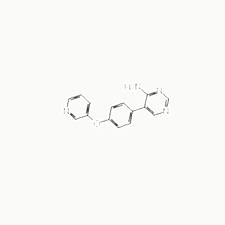 Nc1ncncc1-c1ccc(Oc2cccnc2)cc1